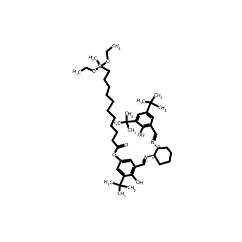 CCO[Si](C)(CCCCCCCCCCC(=O)Oc1cc(/C=N/[C@@H]2CCCC[C@H]2/N=C/c2cc(C(C)(C)C)cc(C(C)(C)C)c2O)c(O)c(C(C)(C)C)c1)OCC